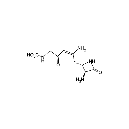 N/C(=C/C(=O)CNC(=O)O)C[C@@H]1NC(=O)[C@H]1N